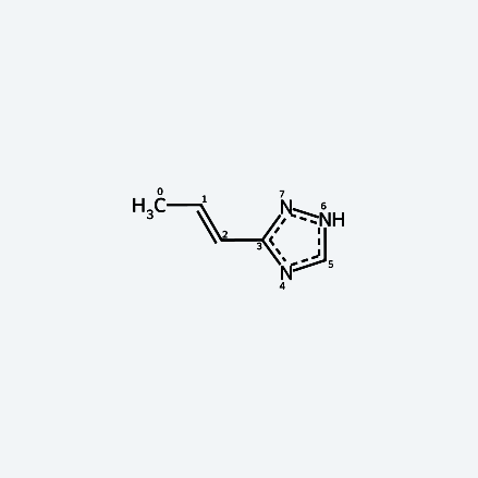 CC=Cc1nc[nH]n1